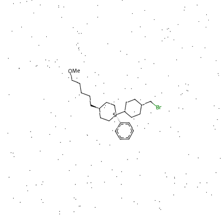 COCCCCC[C@H]1CC[Si@@](c2ccccc2)(C2CCC(CBr)CC2)CC1